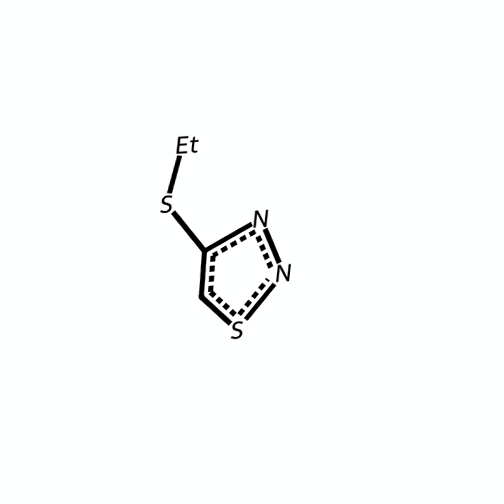 [CH2]CSc1csnn1